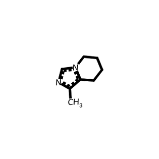 Cc1ncn2c1CCCC2